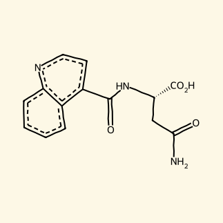 NC(=O)C[C@H](NC(=O)c1ccnc2ccccc12)C(=O)O